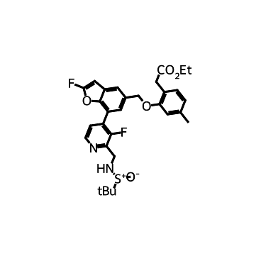 CCOC(=O)Cc1ccc(C)cc1OCc1cc(-c2ccnc(CN[S+]([O-])C(C)(C)C)c2F)c2oc(F)cc2c1